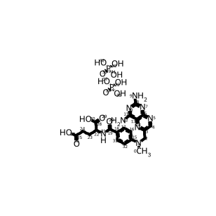 CN(Cc1cnc2nc(N)nc(N)c2n1)c1ccc(C(=O)NC(CCC(=O)O)C(=O)O)cc1.O=P(O)(O)O.O=P(O)(O)O